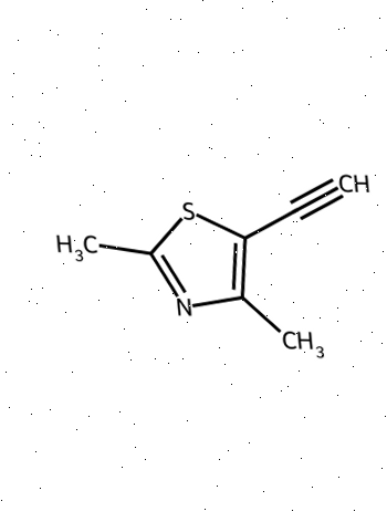 C#Cc1sc(C)nc1C